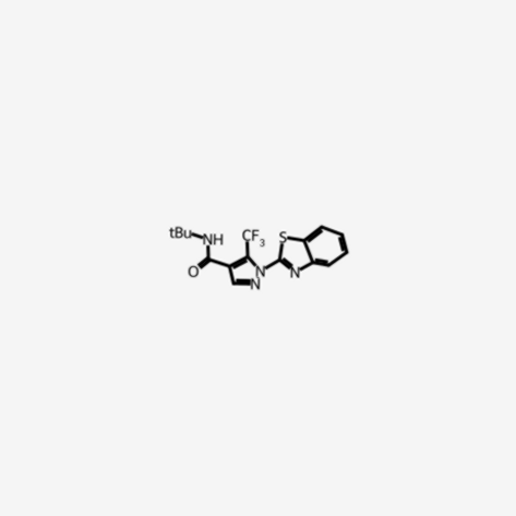 CC(C)(C)NC(=O)c1cnn(-c2nc3ccccc3s2)c1C(F)(F)F